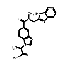 COC(=O)C(N)n1cnc2cc(C(=O)N(C)Cc3nc4ccccc4[nH]3)ccc21